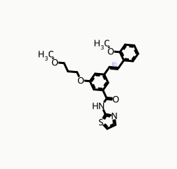 COCCCOc1cc(/C=C/c2ccccc2OC)cc(C(=O)Nc2nccs2)c1